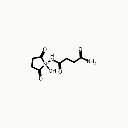 NC(=O)CCC(=O)N[N+]1(O)C(=O)CCC1=O